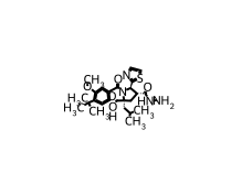 COc1cc(C(=O)N2[C@@H](c3nccs3)[C@H](C(=O)NN)C[C@@]2(CC(C)C)C(=O)O)ccc1C(C)(C)C